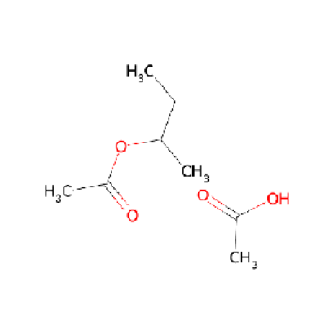 CC(=O)O.CCC(C)OC(C)=O